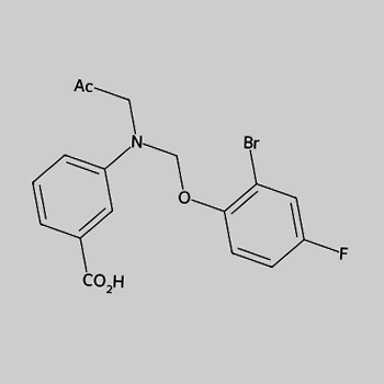 CC(=O)CN(COc1ccc(F)cc1Br)c1cccc(C(=O)O)c1